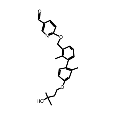 Cc1cc(OCCC(C)(C)O)ccc1-c1cccc(COc2ccc(C=O)cn2)c1C